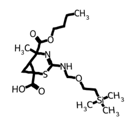 CCCCOC(=O)C1(C)N=C(NCOCC[Si](C)(C)C)SC2(C(=O)O)CC12